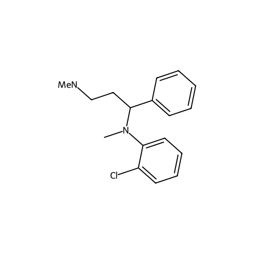 CNCCC(c1ccccc1)N(C)c1ccccc1Cl